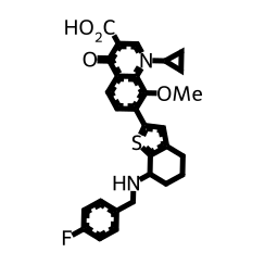 COc1c(-c2cc3c(s2)C(NCc2ccc(F)cc2)CCC3)ccc2c(=O)c(C(=O)O)cn(C3CC3)c12